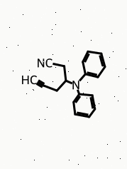 C#CCC(CC#N)N(c1ccccc1)c1ccccc1